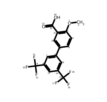 COc1ccc(-c2cc(C(F)(F)F)cc(C(F)(F)F)c2)cc1C(=O)O